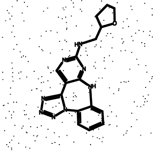 c1ccc2c(c1)Nc1nc(NCC3CCCO3)ncc1-c1nnnn1-2